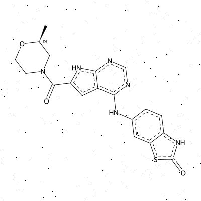 C[C@H]1CN(C(=O)c2cc3c(Nc4ccc5[nH]c(=O)sc5c4)ncnc3[nH]2)CCO1